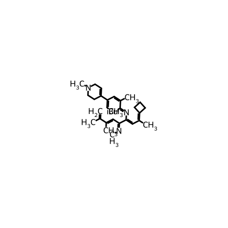 C=C(C)/C(C)=C/C(=N\C)C(=C/C(C)=C1CCC1)/N=C(/C(C)=C\C(=C/C)C1=CCN(C)CC1)C(C)CC